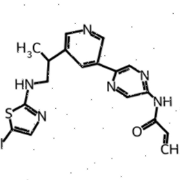 C=CC(=O)Nc1cnc(-c2cncc(C(C)CNc3ncc(Cl)s3)c2)cn1